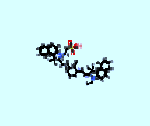 CCN1/C(=C/C=C2\CCCC(/C=C/C3=[N+](CCS(=O)(=O)O)c4ccc5ccccc5c4C3(C)C)=C2C)C(C)(C)c2c1ccc1ccccc21